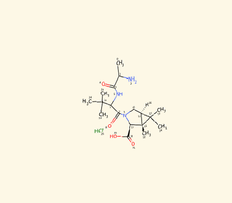 CC(N)C(=O)NC(C(=O)N1C[C@H]2C(C)(C)[C@]2(C)[C@H]1C(=O)O)C(C)(C)C.Cl